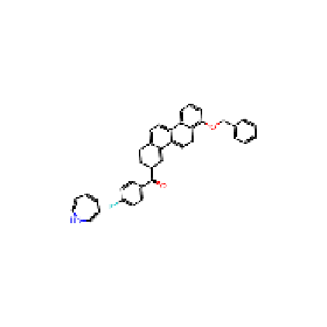 C1=CC=CNC=C1.O=C(c1ccc(F)cc1)C1C=c2c(ccc3c2=CCc2c(OCc4ccccc4)cccc2-3)CC1